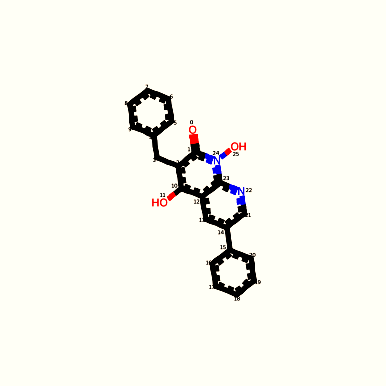 O=c1c(Cc2ccccc2)c(O)c2cc(-c3ccccc3)cnc2n1O